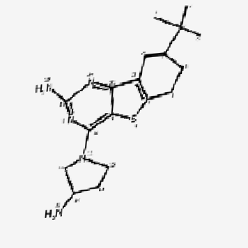 CC(C)(C)C1CCc2sc3c(N4CCC(N)C4)nc(N)nc3c2C1